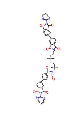 CC(C)(CCN1C(=O)c2ccc(-c3ccc4c(c3)C(=O)N(c3ncccn3)C4=O)cc2C1=O)CCC(C)(C)CN1C(=O)c2ccc(-c3ccc4c(c3)C(=O)N(c3ncccn3)C4=O)cc2C1=O